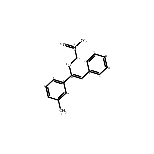 Cc1cccc(C(=Cc2ccccc2)OC[N+](=O)[O-])c1